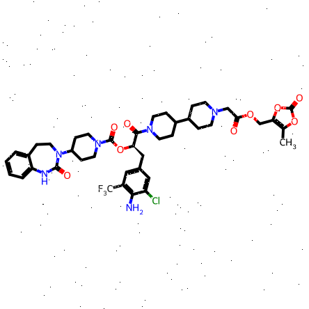 Cc1oc(=O)oc1COC(=O)CN1CCC(C2CCN(C(=O)[C@@H](Cc3cc(Cl)c(N)c(C(F)(F)F)c3)OC(=O)N3CCC(N4CCc5ccccc5NC4=O)CC3)CC2)CC1